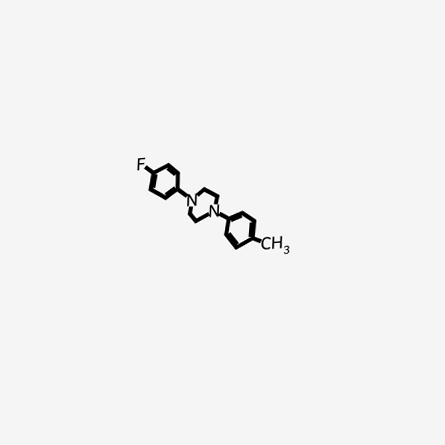 Cc1ccc(N2CCN(c3ccc(F)cc3)CC2)cc1